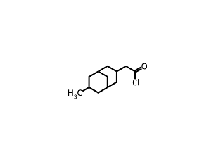 CC1CC2CC(CC(=O)Cl)CC(C1)C2